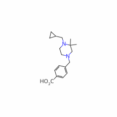 CC1(C)CN(Cc2ccc(C(=O)O)cc2)CCN1CC1CC1